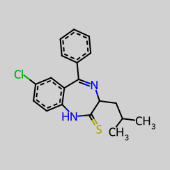 CC(C)CC1N=C(c2ccccc2)c2cc(Cl)ccc2NC1=S